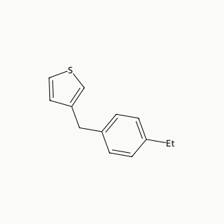 CCc1ccc(Cc2ccsc2)cc1